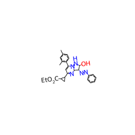 CCOC(=O)C1CC1C1=NC2C(N=Nc3ccccc3)C(O)NN2C(c2ccc(C)cc2C)=C1